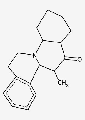 CC1C(=O)C2CCCCC2N2CCc3ccccc3C12